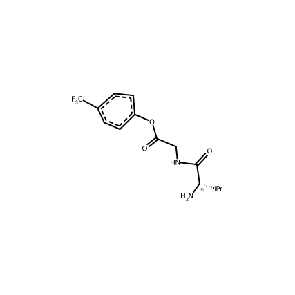 CC(C)[C@H](N)C(=O)NCC(=O)Oc1ccc(C(F)(F)F)cc1